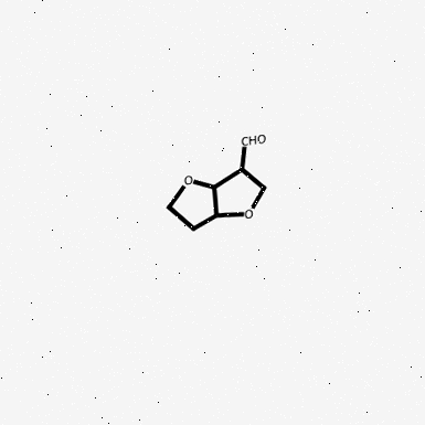 O=CC1COC2CCOC12